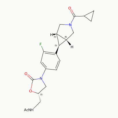 CC(=O)NC[C@H]1CN(c2ccc([C@H]3[C@@H]4CN(C(=O)C5CC5)C[C@@H]43)c(F)c2)C(=O)O1